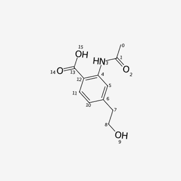 CC(=O)Nc1cc(CCO)ccc1C(=O)O